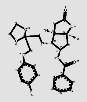 O=C1C[C@@H]2[C@@H](CCC3(COc4ccc(F)cc4)OCCO3)[C@H](OC(=O)c3ccccc3)C[C@@H]2O1